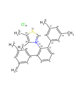 Cc1cc(C)cc(-c2cccc(-c3cc(C)cc(C)c3)c2-[n+]2csc(C)c2C)c1.[Cl-]